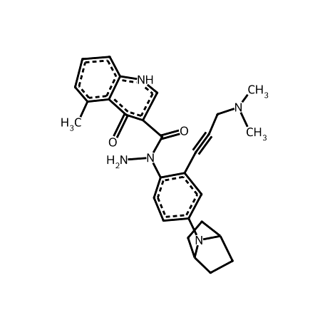 Cc1cccc2[nH]cc(C(=O)N(N)c3ccc(N4C5CCC4CC5)cc3C#CCN(C)C)c(=O)c12